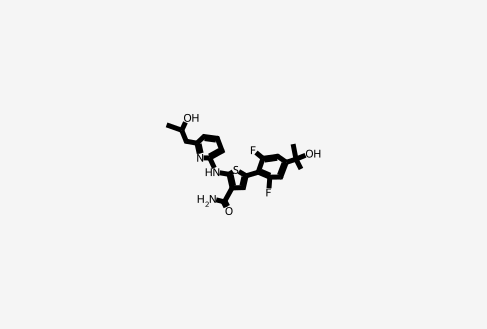 CC(O)Cc1cccc(Nc2sc(-c3c(F)cc(C(C)(C)O)cc3F)cc2C(N)=O)n1